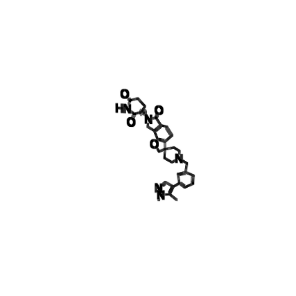 Cc1c(-c2cccc(CN3CCC4(CC3)COc3c4ccc4c3CN([C@H]3CCC(=O)NC3=O)C4=O)c2)cnn1C